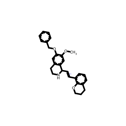 COc1cc2c(cc1OCc1ccccc1)CCNC2/C=C/c1cccc2c1OCCC2